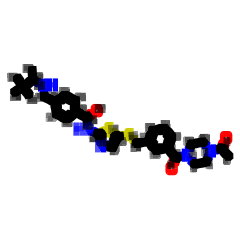 CC(=O)N1CCN(C(=O)c2cccc(CSc3cnc(NC(=O)c4ccc(CNC(C)C(C)(C)C)cc4)s3)c2)CC1